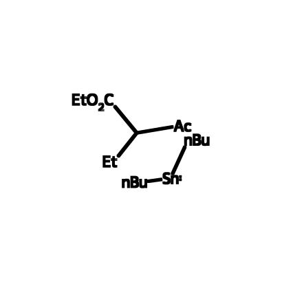 CCC[CH2][Sn][CH2]CCC.CCOC(=O)C(CC)C(C)=O